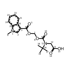 Cn1cc(C(=O)OCOC(=O)N(CC(=O)O)C(C)(C)C)c2ccccc21